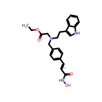 CCOC(=O)CN(CCc1c[nH]c2ccccc12)Cc1ccc(/C=C/C(=O)NO)cc1